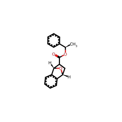 C[C@@H](OC(=O)C1C[C@H]2O[C@@H]1c1ccccc12)c1ccccc1